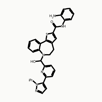 CC(C)n1nccc1-c1cccc(C(O)N2CCc3cc(C(=O)Nc4ccccc4N)sc3-c3ccccc32)n1